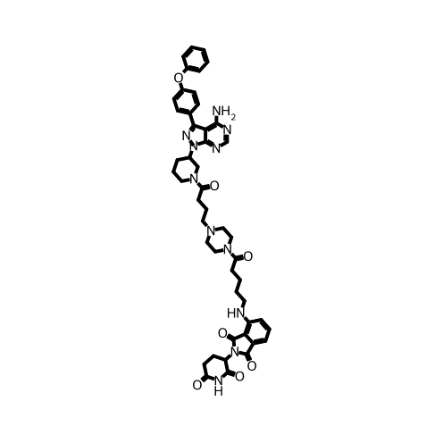 Nc1ncnc2c1c(-c1ccc(Oc3ccccc3)cc1)nn2C1CCCN(C(=O)CCCN2CCN(C(=O)CCCCNc3cccc4c3C(=O)N(C3CCC(=O)NC3=O)C4=O)CC2)C1